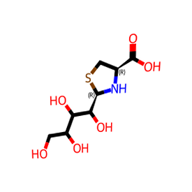 O=C(O)[C@@H]1CS[C@H](C(O)C(O)C(O)CO)N1